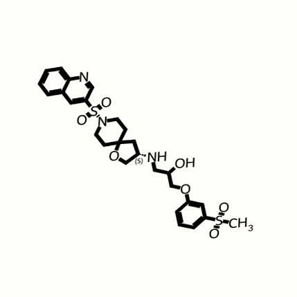 CS(=O)(=O)c1cccc(OCC(O)CN[C@@H]2COC3(CCN(S(=O)(=O)c4cnc5ccccc5c4)CC3)C2)c1